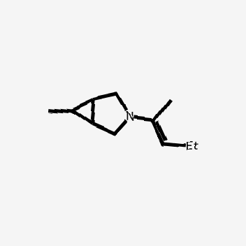 CC/C=C(\C)N1CC2C(C)C2C1